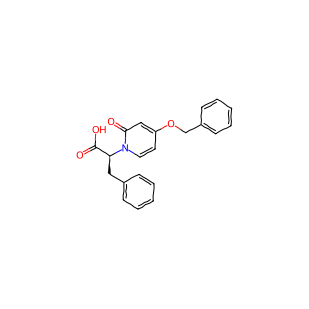 O=C(O)[C@H](Cc1ccccc1)n1ccc(OCc2ccccc2)cc1=O